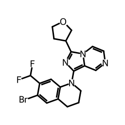 FC(F)c1cc2c(cc1Br)CCCN2c1nc(C2CCOC2)n2ccncc12